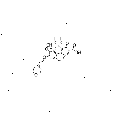 COc1cc2c(cc1OCCN1CCOCC1)CCn1cc(C(=O)O)c(=O)c(C(C)(C)C)c1-2